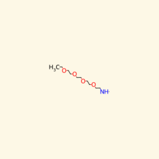 CCOCCOCCOCCOCC[NH]